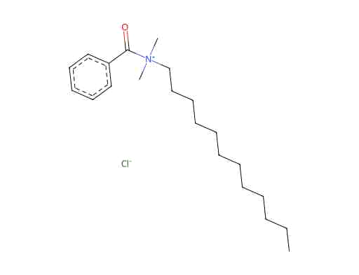 CCCCCCCCCCCC[N+](C)(C)C(=O)c1ccccc1.[Cl-]